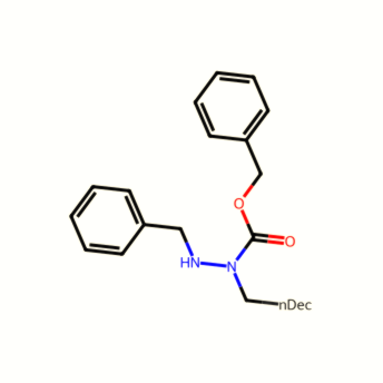 CCCCCCCCCCCN(NCc1ccccc1)C(=O)OCc1ccccc1